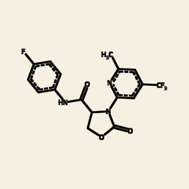 Cc1cc(C(F)(F)F)cc(N2C(=O)OCC2C(=O)Nc2ccc(F)cc2)n1